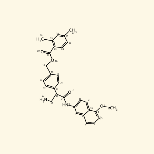 COc1nccc2cc(NC(=O)C(CN)c3ccc(COC(=O)c4ccc(C)cc4C)cc3)ccc12